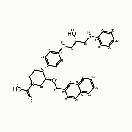 O=C(O)N1CC[C@H](c2ccc(OC[C@H](O)CSc3ccccc3)cc2)[C@@H](OCc2ccc3ccccc3c2)C1